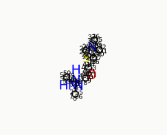 c1ccc(C2=NC(c3ccc4oc5cc(-c6cccc7c6sc6cccc(-n8c9ccccc9c9ccccc98)c67)ccc5c4c3)NC(c3ccccc3)N2)cc1